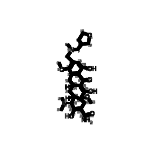 COc1c(CN(C)CC2CCOC2)cc(O)c2c1C[C@H]1C[C@H]3[C@H](N(C)C)C(O)=C(C(N)=O)C[C@@]3(OC)C(O)=C1C2=O